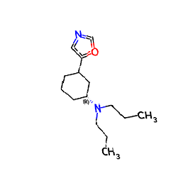 CCCN(CCC)[C@@H]1CCCC(c2cnco2)C1